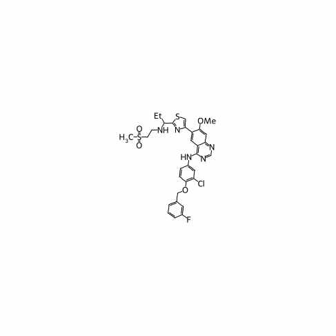 CCC(NCCS(C)(=O)=O)c1nc(-c2cc3c(Nc4ccc(OCc5cccc(F)c5)c(Cl)c4)ncnc3cc2OC)cs1